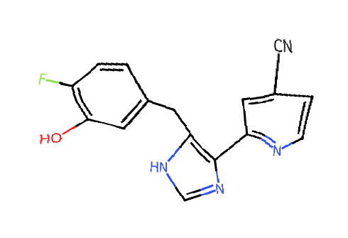 N#Cc1ccnc(-c2nc[nH]c2Cc2ccc(F)c(O)c2)c1